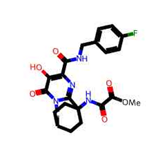 COC(=O)C(=O)NC12CCC(CC1)Cn1c2nc(C(=O)NCc2ccc(F)cc2)c(O)c1=O